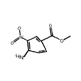 COC(=O)c1ccc([NH])c([N+](=O)[O-])c1